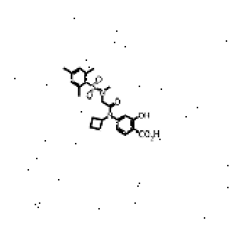 Cc1cc(C)c(S(=O)(=O)N(C)CC(=O)N(c2ccc(C(=O)O)c(O)c2)C2CCC2)c(C)c1